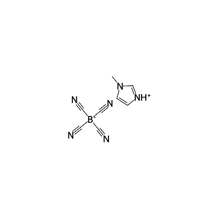 Cn1cc[nH+]c1.N#C[B-](C#N)(C#N)C#N